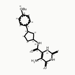 C=C1NC(=O)C(N)=C(C(=O)NC2CCC(c3ccc(OCC(C)C)cc3)C2)N1